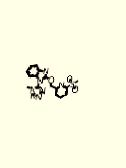 Cn1nnnc1-n1c(OCc2cccc(S(C)(=O)=O)n2)nc2ccccc21